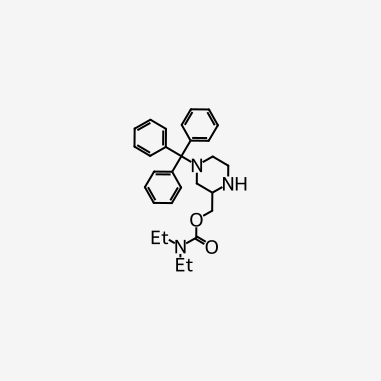 CCN(CC)C(=O)OCC1CN(C(c2ccccc2)(c2ccccc2)c2ccccc2)CCN1